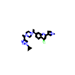 C=C(c1ccc2c(Cl)cc(-c3ccn(C)c3)nc2c1)N1CCN(C(=C)c2cn(C3CC3)nn2)CC1